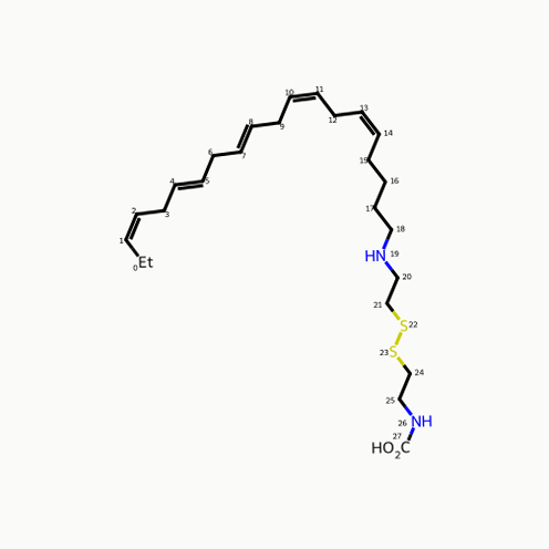 CC/C=C\CC=CCC=CC/C=C\C/C=C\CCCCNCCSSCCNC(=O)O